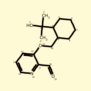 CC(C)(O)C1CCCCC1COc1cccnc1C=O